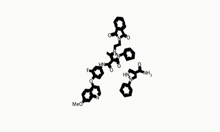 COc1ccc2c(Oc3ccc(NC(=O)c4c(C)n(CCN5C(=O)c6ccccc6C5=O)n(-c5ccccc5)c4=O)cc3F)ccnc2c1.NC(=O)C1=CNN(c2ccccc2)C1